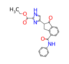 CCOC(=O)c1nc(C2Cc3c(C(=O)Nc4ccccc4)cccc3C2=O)c[nH]1